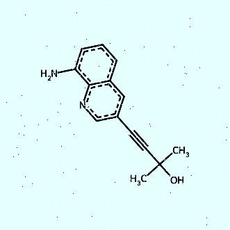 CC(C)(O)C#Cc1cnc2c(N)cccc2c1